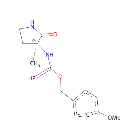 COc1ccc(COC(=P)N[C@@]2(C)CCNC2=O)cc1